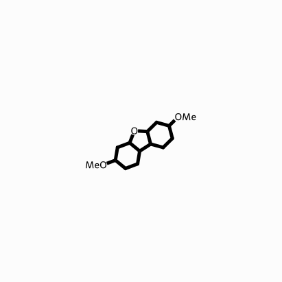 COC1CCC2C(C1)OC1CC(OC)CCC12